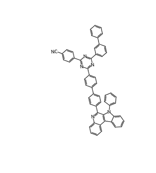 N#Cc1ccc(-c2nc(-c3ccc(-c4ccc(-c5nc6ccccc6c6c7ccccc7n(-c7ccccc7)c56)cc4)cc3)nc(-c3cccc(-c4ccccc4)c3)n2)cc1